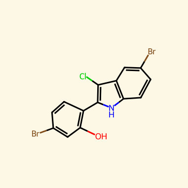 Oc1cc(Br)ccc1-c1[nH]c2ccc(Br)cc2c1Cl